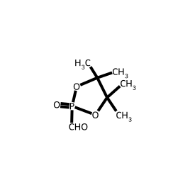 CC1(C)OP(=O)(C=O)OC1(C)C